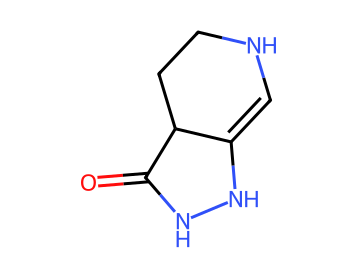 O=C1NNC2=CNCCC12